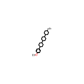 CCCC1CCC(C2CCC(C3CCC(c4ccc(OCC)cc4)CC3)CC2)CC1